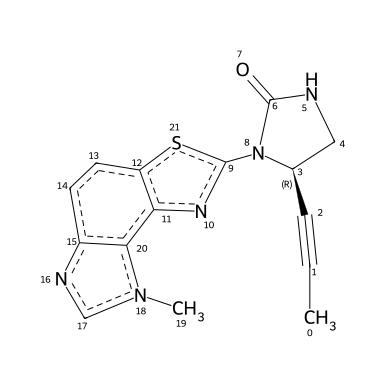 CC#C[C@@H]1CNC(=O)N1c1nc2c(ccc3ncn(C)c32)s1